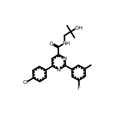 Cc1cc(F)cc(-c2nc(C(=O)NCC(C)(C)O)cc(-c3ccc(Cl)cc3)n2)c1